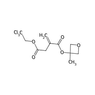 C=C(CC(=O)OCC(Cl)(Cl)Cl)C(=O)OC1(C)COC1